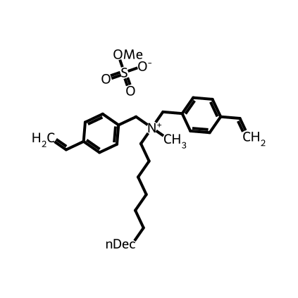 C=Cc1ccc(C[N+](C)(CCCCCCCCCCCCCCCC)Cc2ccc(C=C)cc2)cc1.COS(=O)(=O)[O-]